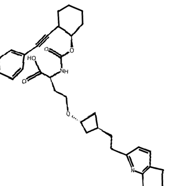 O=C(N[C@@H](CCO[C@H]1C[C@H](CCc2ccc3c(n2)NCCC3)C1)C(=O)O)O[C@@H]1CCCCC1C#Cc1ccccc1